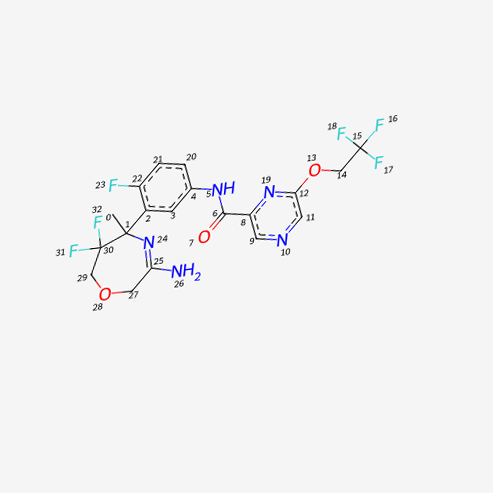 CC1(c2cc(NC(=O)c3cncc(OCC(F)(F)F)n3)ccc2F)N=C(N)COCC1(F)F